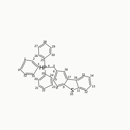 c1ccc([PH](Cc2ccc3sc4ccccc4c3c2)(c2ccccc2)c2ccccc2)cc1